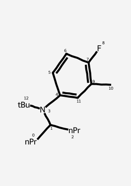 CCCC(CCC)N(c1ccc(F)c(C)c1)C(C)(C)C